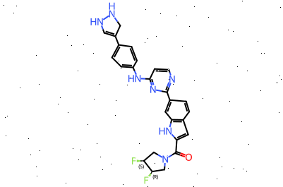 O=C(c1cc2ccc(-c3nccc(Nc4ccc(C5=CNNC5)cc4)n3)cc2[nH]1)N1C[C@@H](F)[C@@H](F)C1